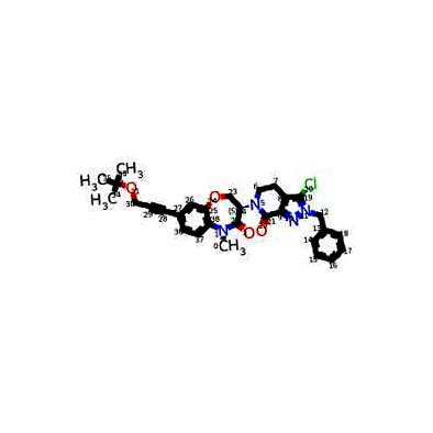 CN1C(=O)[C@@H](N2CCc3c(nn(Cc4ccccc4)c3Cl)C2=O)COc2cc(C#CCOC(C)(C)C)ccc21